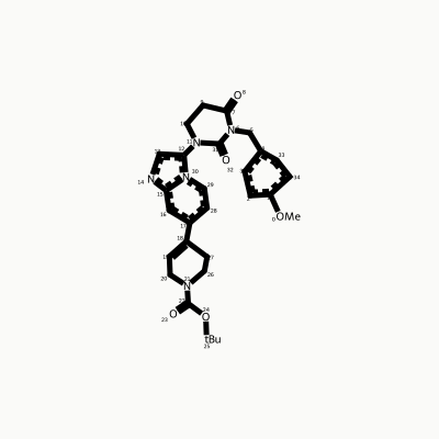 COc1ccc(CN2C(=O)CCN(c3cnc4cc(C5=CCN(C(=O)OC(C)(C)C)CC5)ccn34)C2=O)cc1